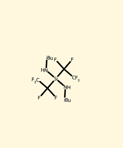 CCC(C)N[Si](NC(C)CC)(C(F)(F)C(F)(F)F)C(F)(F)C(F)(F)F